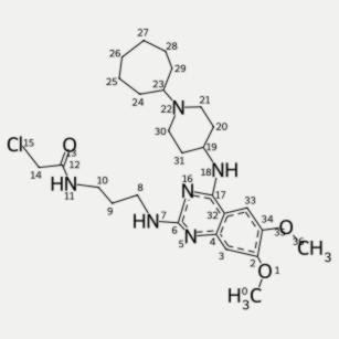 COc1cc2nc(NCCCNC(=O)CCl)nc(NC3CCN(C4CCCCCC4)CC3)c2cc1OC